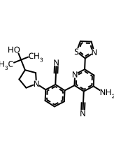 CC(C)(O)C1CCN(c2cccc(-c3nc(-c4nccs4)cc(N)c3C#N)c2C#N)C1